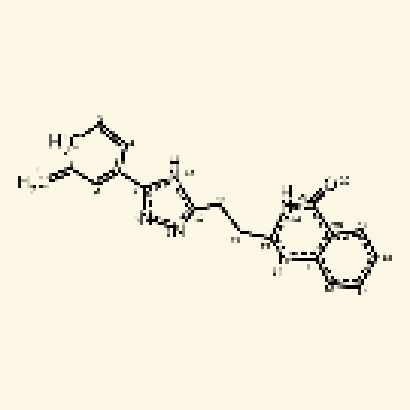 C=C/C=C(\C=C/C)c1nnc(CCc2nc3ccccc3c(=O)[nH]2)[nH]1